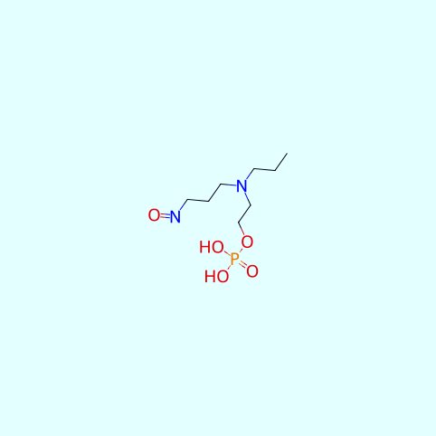 CCCN(CCCN=O)CCOP(=O)(O)O